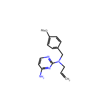 C=CCN(Cc1ccc(OC)cc1)c1nccc(N)n1